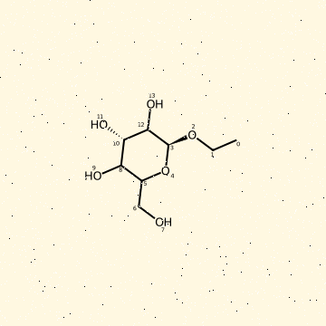 CCO[C@H]1OC(CO)C(O)[C@H](O)C1O